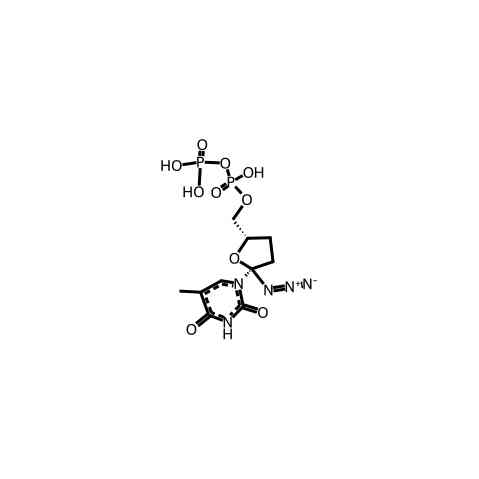 Cc1cn([C@@]2(N=[N+]=[N-])CC[C@@H](COP(=O)(O)OP(=O)(O)O)O2)c(=O)[nH]c1=O